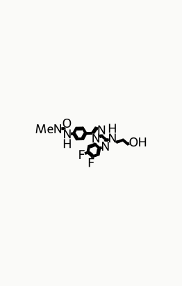 CNC(=O)Nc1ccc(-c2cnc3c(NCCCO)nc4cc(F)c(F)cc4n23)cc1